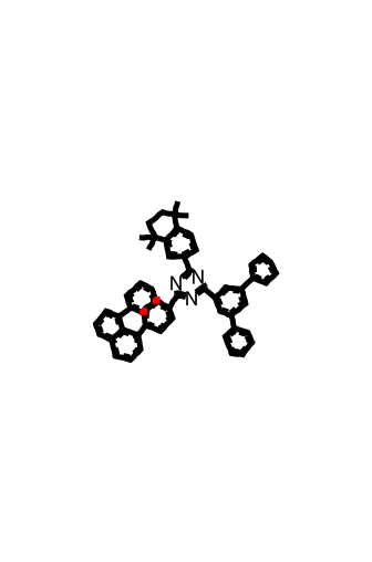 CC1(C)CCC(C)(C)c2cc(-c3nc(-c4ccc(-c5cccc6cccc(-c7ccccc7)c56)cc4)nc(-c4cc(-c5ccccc5)cc(-c5ccccc5)c4)n3)ccc21